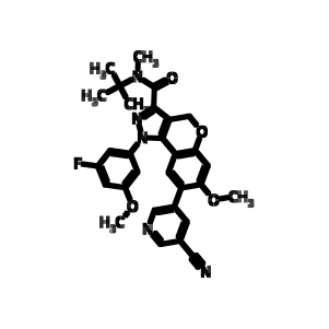 COc1cc(F)cc(-n2nc(C(=O)N(C)C(C)(C)C)c3c2-c2cc(-c4cncc(C#N)c4)c(OC)cc2OC3)c1